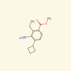 CCc1c(C(=O)OC)ccc(C2CCC2)c1C#N